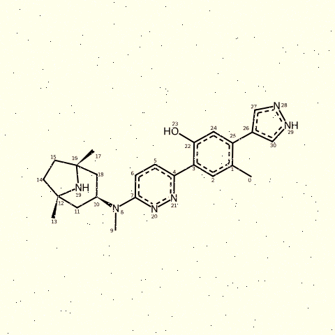 Cc1cc(-c2ccc(N(C)[C@H]3C[C@]4(C)CC[C@](C)(C3)N4)nn2)c(O)cc1-c1cn[nH]c1